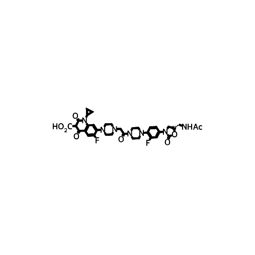 CC(=O)NC[C@H]1CN(c2ccc(N3CCN(C(=O)CN4CCN(c5cc6c(cc5F)C(=O)C(C(=O)O)C(=O)N6C5CC5)CC4)CC3)c(F)c2)C(=O)O1